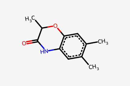 Cc1cc2c(cc1C)OC(C)C(=O)N2